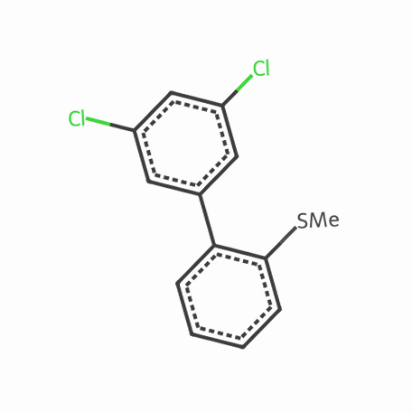 CSc1ccccc1-c1cc(Cl)cc(Cl)c1